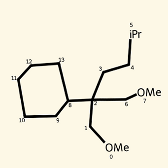 COCC(CCC(C)C)(COC)C1CCCCC1